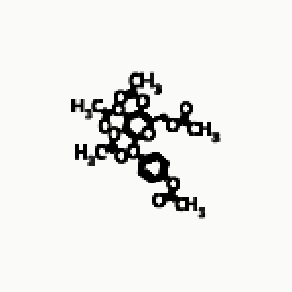 CC(=O)OC[C@H]1O[C@@H](Oc2ccc(OC(C)=O)cc2)[C@H](OC(C)=O)[C@@H](OC(C)=O)[C@H]1OC(C)=O